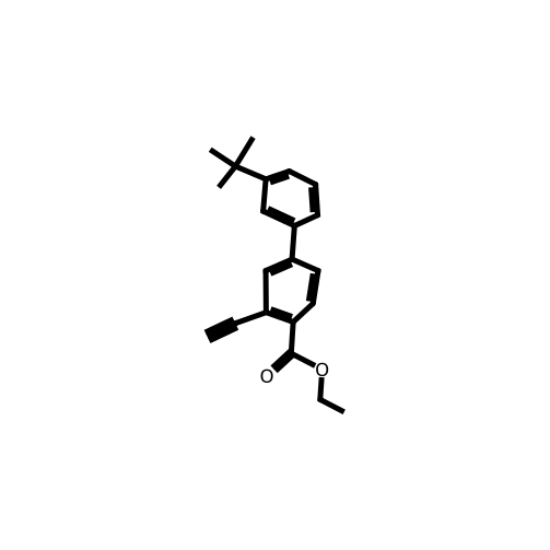 C#Cc1cc(-c2cccc(C(C)(C)C)c2)ccc1C(=O)OCC